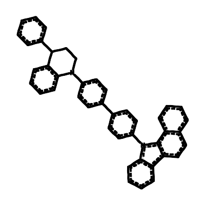 c1ccc(C2CCN(c3ccc(-c4ccc(-n5c6ccccc6c6ccc7ccccc7c65)cc4)cc3)c3ccccc32)cc1